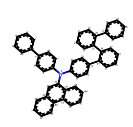 c1ccc(-c2ccc(N(c3ccc(-c4ccccc4-c4ccccc4-c4ccccc4)cc3)c3cc4ccccc4c4ccccc34)cc2)cc1